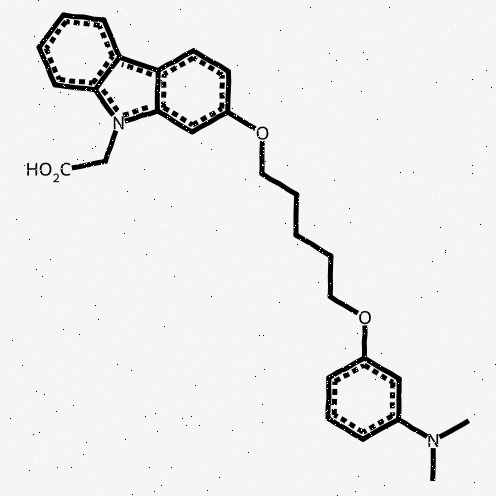 CN(C)c1cccc(OCCCCCOc2ccc3c4ccccc4n(CC(=O)O)c3c2)c1